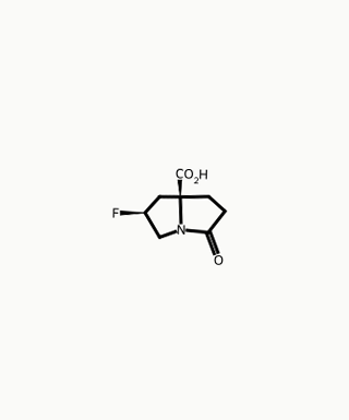 O=C1CC[C@@]2(C(=O)O)C[C@H](F)CN12